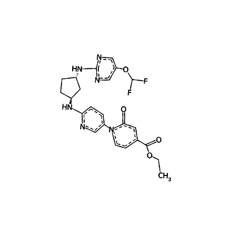 CCOC(=O)c1ccn(-c2ccc(N[C@H]3CC[C@H](Nc4ncc(OC(F)F)cn4)C3)nc2)c(=O)c1